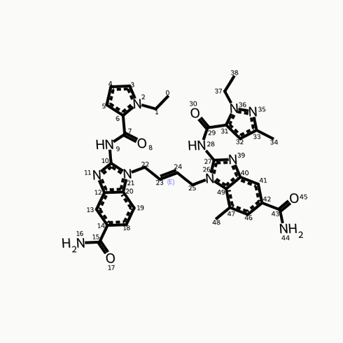 CCn1cccc1C(=O)Nc1nc2cc(C(N)=O)ccc2n1C/C=C/Cn1c(NC(=O)c2cc(C)nn2CC)nc2cc(C(N)=O)cc(C)c21